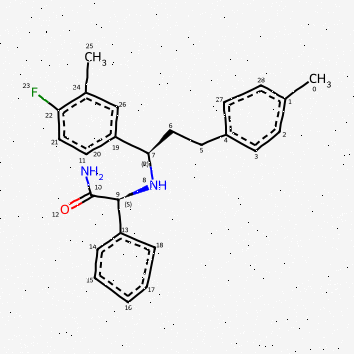 Cc1ccc(CC[C@@H](N[C@H](C(N)=O)c2ccccc2)c2ccc(F)c(C)c2)cc1